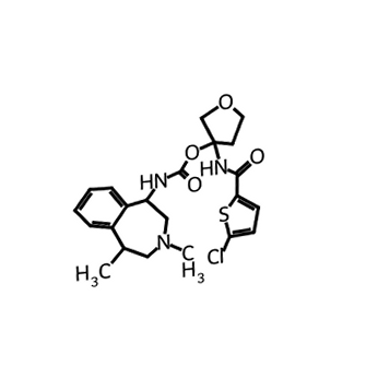 CC1CN(C)CC(NC(=O)OC2(NC(=O)c3ccc(Cl)s3)CCOC2)c2ccccc21